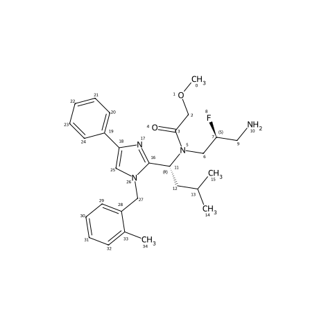 COCC(=O)N(C[C@@H](F)CN)[C@H](CC(C)C)c1nc(-c2ccccc2)cn1Cc1ccccc1C